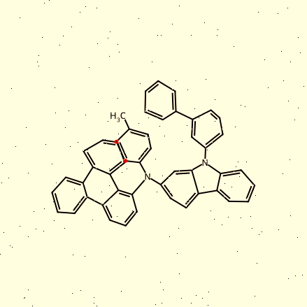 Cc1ccc(N(c2ccc3c4ccccc4n(-c4cccc(-c5ccccc5)c4)c3c2)c2cccc3c4ccccc4c4ccccc4c23)cc1